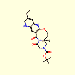 CCC1=Cc2nc3c(cc2NC1)C(=O)N1C(=O)CN(C(=O)OC(C)(C)C)C[C@H]1CCO3